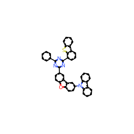 c1ccc(-c2nc(-c3ccc4oc5ccc(-n6c7ccccc7c7ccccc76)cc5c4c3)nc(-c3cccc4c3sc3ccccc34)n2)cc1